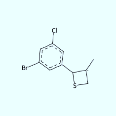 C[C]1CSC1c1cc(Cl)cc(Br)c1